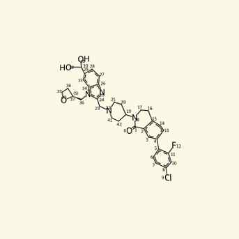 O=C1c2cc(-c3ccc(Cl)cc3F)ccc2CCN1C1CCN(Cc2nc3ccc(C(O)O)cc3n2C[C@@H]2CCO2)CC1